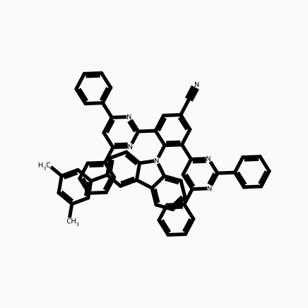 Cc1cc(C)cc(-c2ccc3c(c2)c2ccccc2n3-c2c(-c3cc(-c4ccccc4)nc(-c4ccccc4)n3)cc(C#N)cc2-c2nc(-c3ccccc3)cc(-c3ccccc3)n2)c1